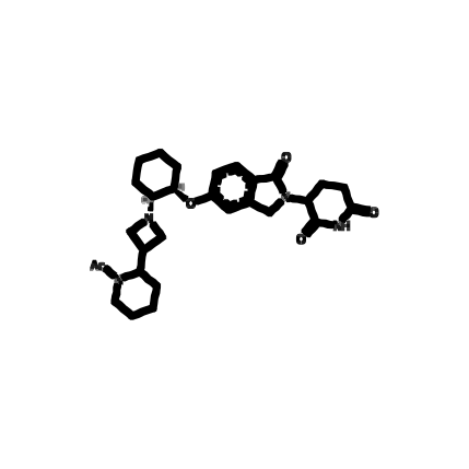 CC(=O)N1CCCCC1C1CN([C@@H]2CCCC[C@H]2Oc2ccc3c(c2)CN(C2CCC(=O)NC2=O)C3=O)C1